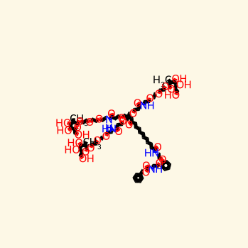 CC1C(OCCOCCOCCNC(=O)CCOCC(COCCC(=O)NCCOCCOCCOC2OC(CO)C(O)C(O)C2C)(COCCC(=O)NCCOCCOCCOC2OC(CO)C(O)C(O)C2C)CC(=O)CCCCCCCCCCC(=O)NCCOC2(OCCNC(=O)OCc3ccccc3)CCCCC2)OC(CO)C(O)C1O